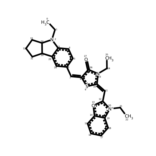 CCN1c2ccc(/C=c3/s/c(=C\c4oc5ccccc5[n+]4CC)n(CC)c3=O)cc2C2CCCC21